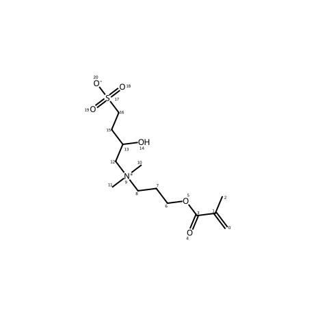 C=C(C)C(=O)OCCC[N+](C)(C)CC(O)CCS(=O)(=O)[O-]